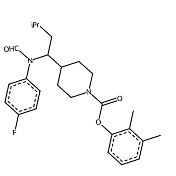 Cc1cccc(OC(=O)N2CCC(C(CC(C)C)N(C=O)c3ccc(F)cc3)CC2)c1C